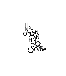 COC1CCCCC1Oc1cc(F)ccc1Nc1ncnc2sc(C(N)=O)c(C)c12